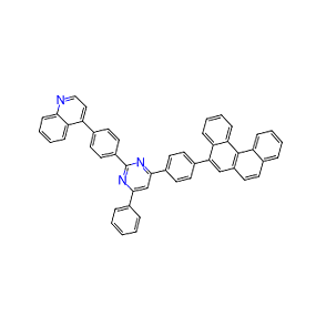 c1ccc(-c2cc(-c3ccc(-c4cc5ccc6ccccc6c5c5ccccc45)cc3)nc(-c3ccc(-c4ccnc5ccccc45)cc3)n2)cc1